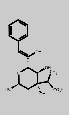 C[C@@H](C(=O)O)[C@@]1(O)C[C@@H](O)O[C@H](C(O)=Cc2ccccc2)[C@H]1O